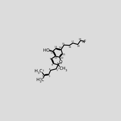 CC(C)=CCCC1(C)C=Cc2c(O)cc(CCCCCF)cc2O1